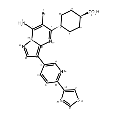 Nc1c(Br)c([C@H]2CC[C@H](C(=O)O)CC2)nc2c(-c3ccc(-c4cscn4)nc3)cnn12